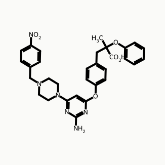 CC(Cc1ccc(Oc2cc(N3CCN(Cc4ccc([N+](=O)[O-])cc4)CC3)nc(N)n2)cc1)(Oc1ccccc1)C(=O)O